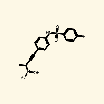 CC(=O)N(O)C(C)C#Cc1ccc(NS(=O)(=O)c2ccc(F)cc2)cc1